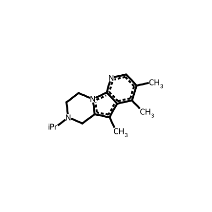 Cc1cnc2c(c1C)c(C)c1n2CCN(C(C)C)C1